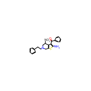 Nc1sc2c(c1C(=O)c1ccccc1)C([N+](=O)[O-])CN(CCc1ccccc1)C2